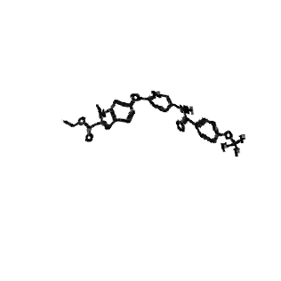 CCOC(=O)c1cc2ccc(Oc3ccc(NC(=O)c4ccc(OC(F)(F)F)cc4)cn3)cc2n1C